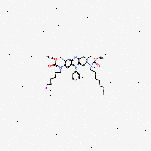 Cc1cc2nc3cc(C)c(N(CCCCCCI)C(=O)OC(C)(C)C)cc3[n+](-c3ccccc3)c2cc1N(CCCCCCI)C(=O)OC(C)(C)C